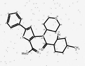 COC(=O)c1sc(-c2ccccc2)cc1N(C(=O)C1CCC(C)CC1C(C)=O)C1CCOCC1